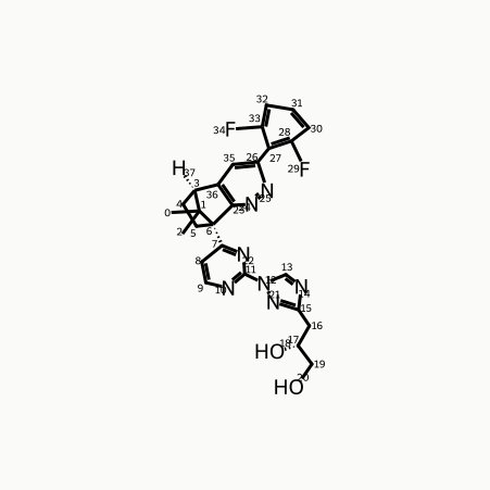 CC1(C)[C@H]2CC[C@]1(c1ccnc(-n3cnc(C[C@@H](O)CO)n3)n1)c1nnc(-c3c(F)cccc3F)cc12